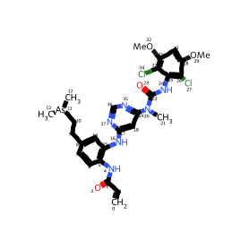 C=CC(=O)Nc1ccc(CC[As](C)C)cc1Nc1cc(N(C)C(=O)Nc2c(Cl)c(OC)cc(OC)c2Cl)ncn1